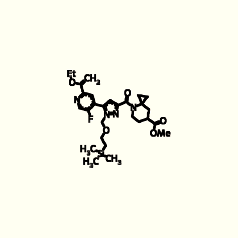 C=C(OCC)c1cc(-c2cc(C(=O)N3CCC(C(=O)OC)CC34CC4)nn2COCC[Si](C)(C)C)c(F)cn1